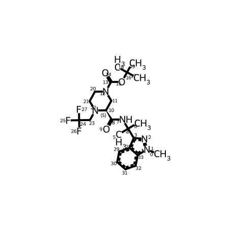 Cn1nc(C(C)(C)NC(=O)[C@@H]2CN(C(=O)OC(C)(C)C)CCN2CC(F)(F)F)c2ccccc21